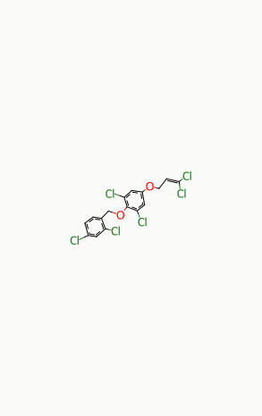 ClC(Cl)=CCOc1cc(Cl)c(OCc2ccc(Cl)cc2Cl)c(Cl)c1